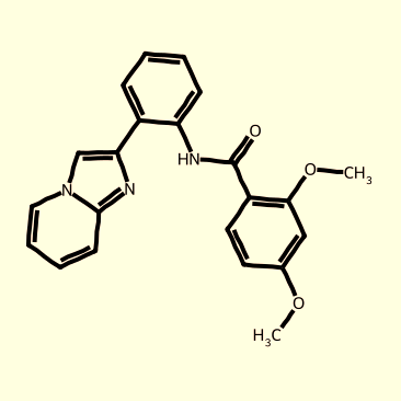 COc1ccc(C(=O)Nc2ccccc2-c2cn3ccccc3n2)c(OC)c1